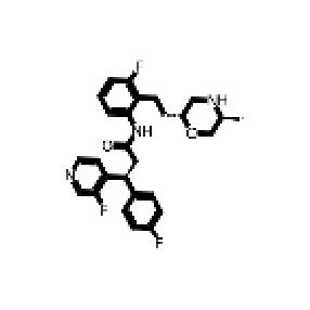 [CH2][C@H]1CO[C@H](CCc2c(F)cccc2NC(=O)C[C@@H](c2ccc(F)cc2)c2ccncc2F)CN1